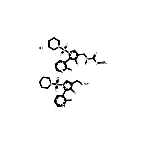 CN(Cc1cn(S(=O)(=O)N2CCCCC2)c(-c2cccnc2F)c1F)C(=O)OC(C)(C)C.CNCc1cn(S(=O)(=O)N2CCCCC2)c(-c2cccnc2F)c1F.Cl